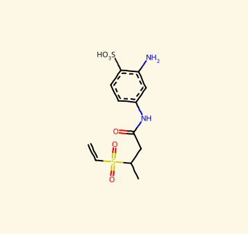 C=CS(=O)(=O)C(C)CC(=O)Nc1ccc(S(=O)(=O)O)c(N)c1